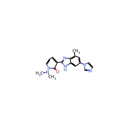 Cc1cc(-n2ccnc2)cc2[nH]c(-c3cccn(N(C)C)c3=O)nc12